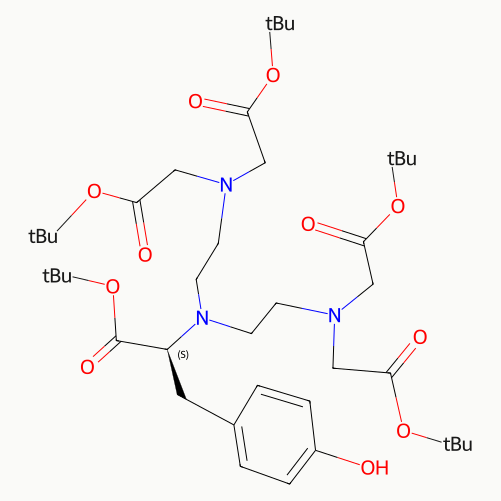 CC(C)(C)OC(=O)CN(CCN(CCN(CC(=O)OC(C)(C)C)CC(=O)OC(C)(C)C)[C@@H](Cc1ccc(O)cc1)C(=O)OC(C)(C)C)CC(=O)OC(C)(C)C